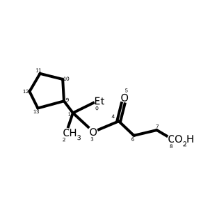 CCC(C)(OC(=O)CCC(=O)O)C1CCCC1